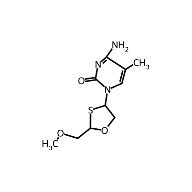 COCC1OCC(n2cc(C)c(N)nc2=O)S1